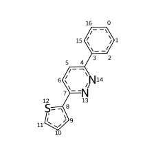 c1ccc(-c2ccc(-c3cccs3)nn2)cc1